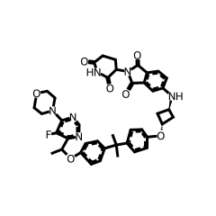 CC(Oc1ccc(C(C)(C)c2ccc(O[C@H]3C[C@H](Nc4ccc5c(c4)C(=O)N(C4CCC(=O)NC4=O)C5=O)C3)cc2)cc1)c1ncnc(N2CCOCC2)c1F